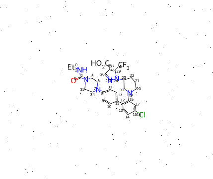 CCNC(=O)N1CCN(c2ccc(-c3ccc(Cl)cc3N3CCCC(n4ncc(C(=O)O)c4C(F)(F)F)C3)cc2)CC1